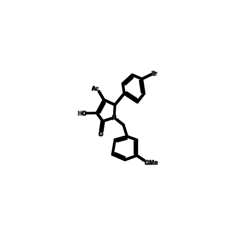 COc1cccc(CN2C(=O)C(O)=C(C(C)=O)C2c2ccc(Br)cc2)c1